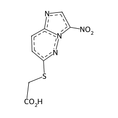 O=C(O)CSc1ccc2ncc([N+](=O)[O-])n2n1